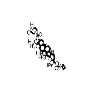 CC(C)[C@@H](OC(=O)N1CCC1)C1CC[C@H]2C(O1)[C@H](O)[C@@]1(C)C3CCC4C(C)(C)[C@@H](OC(=O)N5CCNC(=O)C5)CC[C@@]45CC35CC[C@]21C